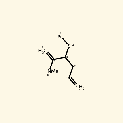 C=CCC(SC(C)C)C(=C)NC